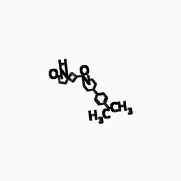 CC(C)c1ccc(C2CCN(C(=O)C3CC4(CCC(=O)N4)C3)CC2)cc1